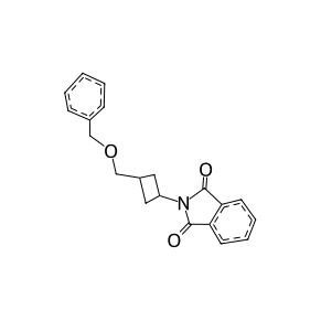 O=C1c2ccccc2C(=O)N1C1CC(COCc2ccccc2)C1